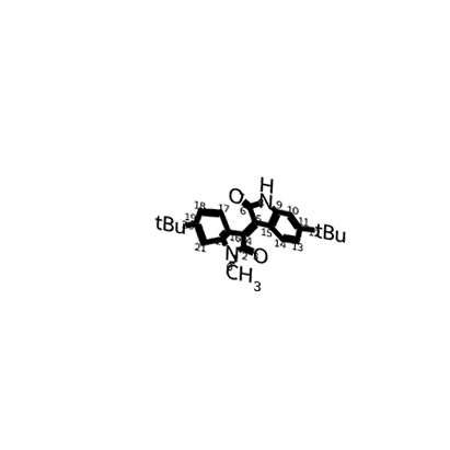 CN1C(=O)/C(=C2/C(=O)Nc3cc(C(C)(C)C)ccc32)c2ccc(C(C)(C)C)cc21